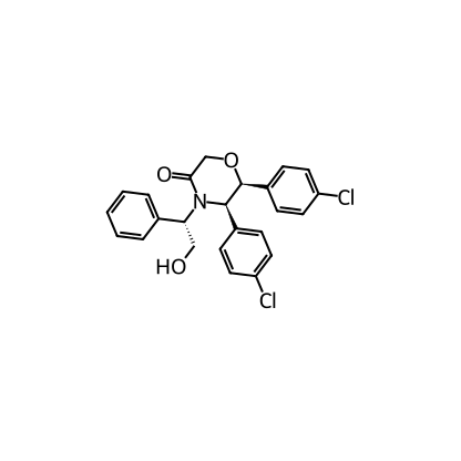 O=C1CO[C@@H](c2ccc(Cl)cc2)[C@@H](c2ccc(Cl)cc2)N1[C@H](CO)c1ccccc1